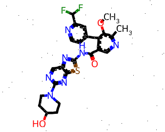 COc1c(C)ncc(C(=O)Nc2nc3cnc(N4CCC(O)CC4)nc3s2)c1-c1ccnc(C(F)F)c1